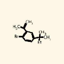 C=C(C)c1cc(C(C)(C)CC)ccc1Br